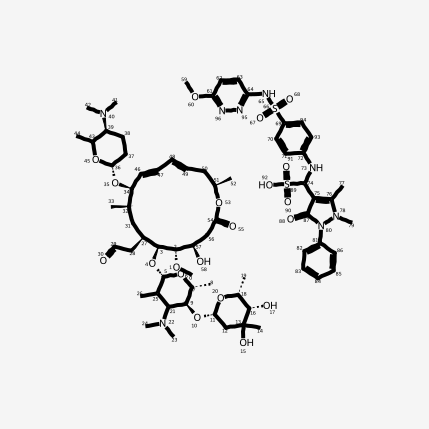 CO[C@@H]1[C@@H](O[C@@H]2O[C@H](C)[C@@H](O[C@H]3CC(C)(O)[C@@H](O)[C@@H](C)O3)C(N(C)C)C2C)[C@@H](CC=O)C[C@@H](C)[C@@H](O[C@H]2CC[C@H](N(C)C)C(C)O2)/C=C/C=C/C[C@@H](C)OC(=O)C[C@H]1O.COc1ccc(NS(=O)(=O)c2ccc(NC(c3c(C)n(C)n(-c4ccccc4)c3=O)S(=O)(=O)O)cc2)nn1